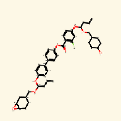 CCCC(OCC1CCC(O)CC1)Oc1ccc(C(=O)Oc2ccc(-c3ccc(OC(CCC)OCC4CCC5OC5C4)cc3)cc2)c(F)c1